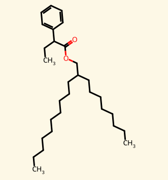 CCCCCCCCCCC(CCCCCCCC)COC(=O)C(CC)c1ccccc1